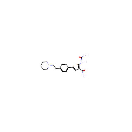 NC(=O)Nc1sc(-c2ccc(CCN3CCCCC3)cc2)cc1C(N)=O